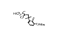 COc1cccc(C(C)(C)CC(=O)C(=O)O)c1F